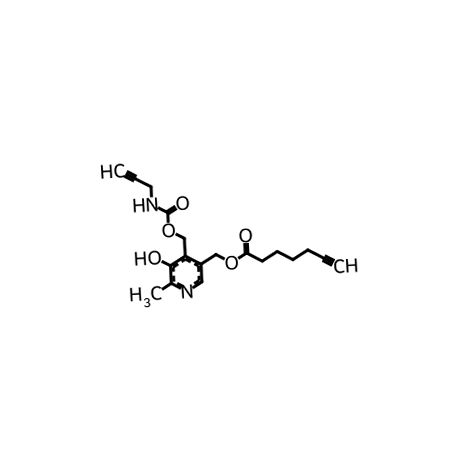 C#CCCCCC(=O)OCc1cnc(C)c(O)c1COC(=O)NCC#C